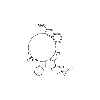 CCC1CC1(C)NC(=O)[C@@H]1C[C@@H]2CN1C(=O)[C@H](C1CCCCC1)NC(=O)OCCCCCc1cc3c(nccc3cc1OC)O2